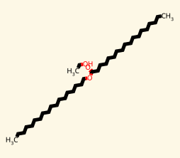 CCCCCCCCCCCCCCCCCCOC(=O)CCCCCCCCCCCCCCCCC.CCO